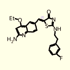 CCOc1cc(N)nc2ccc(/C=C3\SC(NCCc4cccc(F)c4)=NC3=O)cc12